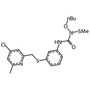 CCCCON(SC)C(=O)Nc1cccc(SCc2cc(Cl)cc(C)n2)c1